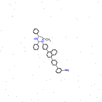 CC1=[N+](c2ccc(-c3ccc(-c4ccc(-c5cccc(C#N)c5)cc4)c4ccccc34)cc2)C(c2ccccc2)NC(c2ccccc2)C1